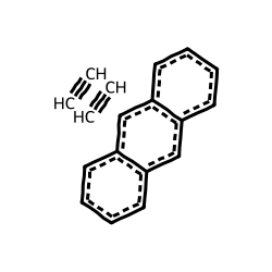 C#C.C#C.c1ccc2cc3ccccc3cc2c1